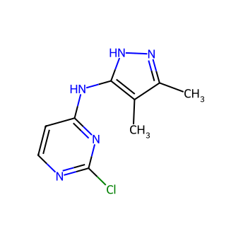 Cc1n[nH]c(Nc2ccnc(Cl)n2)c1C